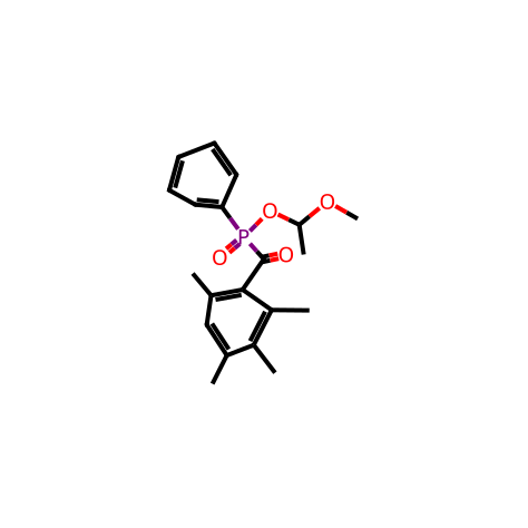 COC(C)OP(=O)(C(=O)c1c(C)cc(C)c(C)c1C)c1ccccc1